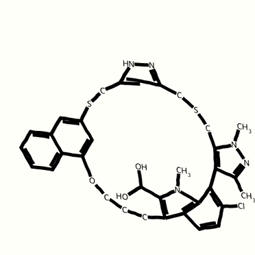 Cc1nn(C)c2c1-c1c(Cl)ccc3c(c(C(O)O)n(C)c13)CCCOc1cc(cc3ccccc13)SCc1cc(n[nH]1)CSC2